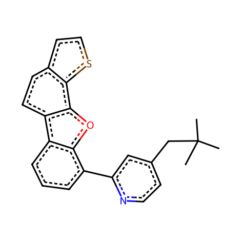 CC(C)(C)Cc1ccnc(-c2cccc3c2oc2c3ccc3ccsc32)c1